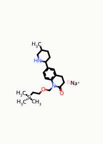 CC1CCC(c2ccc3c(c2)CCC(=O)N3COCC[Si](C)(C)C)NC1.[BH4-].[Na+]